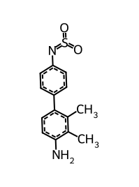 Cc1c(N)ccc(-c2ccc(N=S(=O)=O)cc2)c1C